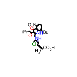 CCC(C)C1=CCC=C([N+](=O)[O-])c2c1[nH]c(CN/C(=C/C=C=C(C)C(=O)O)CCl)c(C(=O)CC(C)C)c2=O